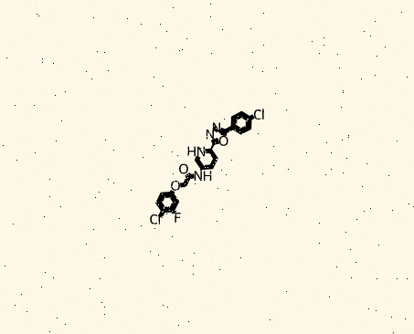 O=C(COc1ccc(Cl)c(F)c1)N[C@H]1CC[C@H](c2nnc(-c3ccc(Cl)cc3)o2)NC1